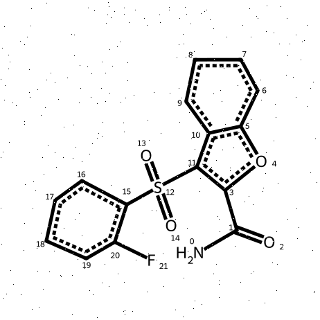 NC(=O)c1oc2ccccc2c1S(=O)(=O)c1ccccc1F